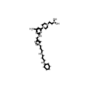 Nc1cc(N2CCN(CCP(O)O)CC2)nc(NCc2cn(CCCNCCCNC3CCCCC3)nn2)n1